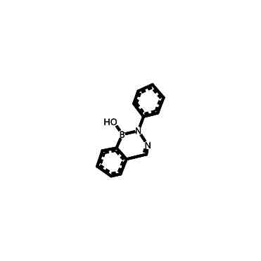 OB1c2ccccc2C=NN1c1ccccc1